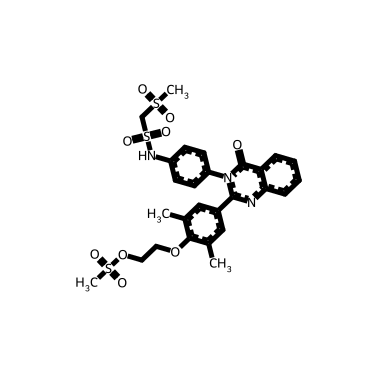 Cc1cc(-c2nc3ccccc3c(=O)n2-c2ccc(NS(=O)(=O)CS(C)(=O)=O)cc2)cc(C)c1OCCOS(C)(=O)=O